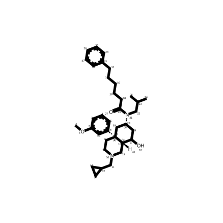 COc1cccc([C@@]23CCN(CC4CC4)C[C@H]2C(O)C[C@@H](N(CC(C)C)C(=O)CCCCCc2ccccc2)C3)c1